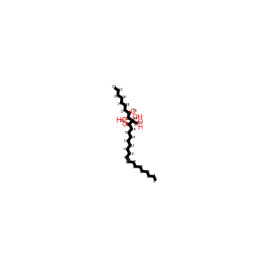 CCCCCCCC/C=C\CCCCCCCC(=O)C(O)(CO)C(O)C(=O)CCCCCCC